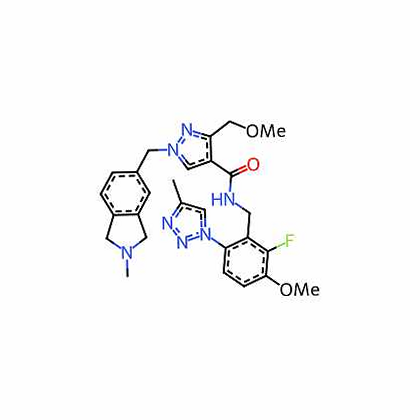 COCc1nn(Cc2ccc3c(c2)CN(C)C3)cc1C(=O)NCc1c(-n2cc(C)nn2)ccc(OC)c1F